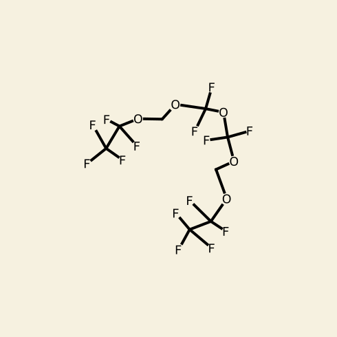 FC(F)(OCOC(F)(F)C(F)(F)F)OC(F)(F)OCOC(F)(F)C(F)(F)F